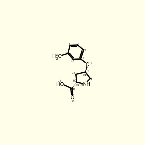 Cc1cccc(O[C@H]2CN[C@H](C(=O)O)C2)c1